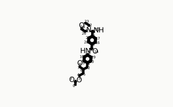 CC(=O)OCCC1COc2cc(NC(=O)c3ccc(C(=N)N4CCOCC4)cc3)ccc2C1